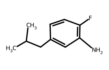 CC(C)Cc1ccc(F)c(N)c1